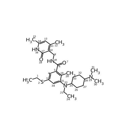 CCSc1cc(C(=O)NCc2c(C)cc(C)[nH]c2=O)c(C)c(N(CC)C2CCC(N(C)C)CC2)c1